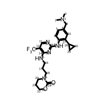 CN(C)Cc1ccc(Nc2ncc(C(F)(F)F)c(NCCCN3CCCOC3=O)n2)c(C2CC2)c1